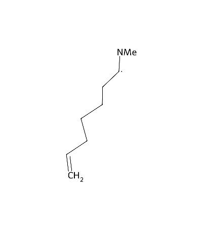 C=CCCCC[CH]NC